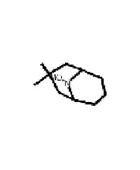 CC1(C)CC2CCCC(C1)N2O